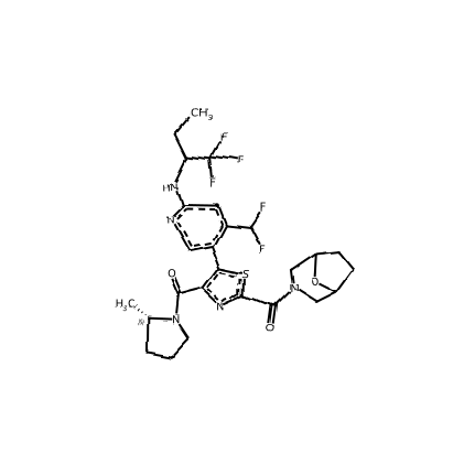 CCC(Nc1cc(C(F)F)c(-c2sc(C(=O)N3CC4CCC(C3)O4)nc2C(=O)N2CCC[C@@H]2C)cn1)C(F)(F)F